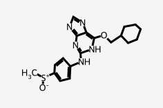 C[S+]([O-])c1ccc(Nc2nc3ncnc-3c(OCC3CCCCC3)[nH]2)cc1